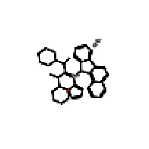 CC([C](C(C)C1CCCCC1)=[Zr+2]([C]1=CC=CC1)[CH]1c2ccccc2-c2ccc3ccccc3c21)C1CCCCC1.[Cl-].[Cl-]